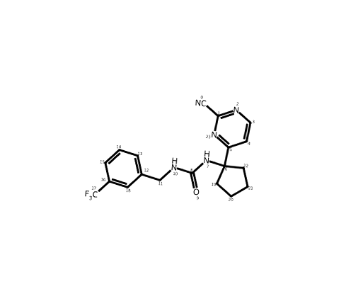 N#Cc1nccc(C2(NC(=O)NCc3cccc(C(F)(F)F)c3)CCCC2)n1